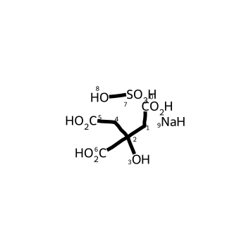 O=C(O)CC(O)(CC(=O)O)C(=O)O.O=S(=O)(O)O.[NaH]